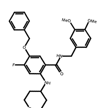 COc1ccc(CNC(=O)c2cc(OCc3ccccc3)c(F)cc2NC2CCOCC2)cc1OC